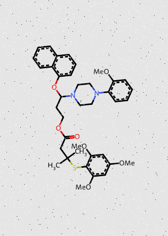 COc1cc(OC)c(SC(C)(C)CC(=O)OCCC(Oc2cccc3ccccc23)N2CCN(c3ccccc3OC)CC2)c(OC)c1